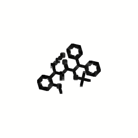 COc1ccccc1C(N=C=O)NC(=O)C(OC(C)(C)C)C(c1ccccc1)c1ccccc1